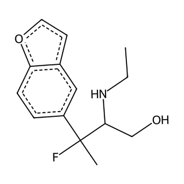 CCNC(CO)C(C)(F)c1ccc2occc2c1